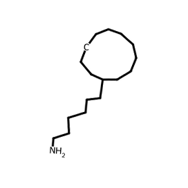 NCCCCCCC1CCCCCCCCCC1